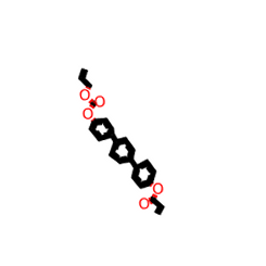 C=CCOC(=O)Oc1ccc(-c2ccc(-c3ccc(OC(=O)C=C)cc3)cc2)cc1